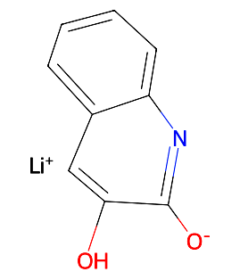 [Li+].[O-]c1nc2ccccc2cc1O